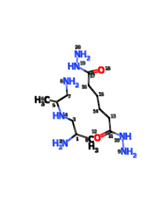 CC(N)CNC(C)CN.NNC(=O)CCCCC(=O)NN